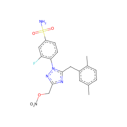 Cc1ccc(C)c(Cc2nc(CO[N+](=O)[O-])nn2-c2ccc(S(N)(=O)=O)cc2F)c1